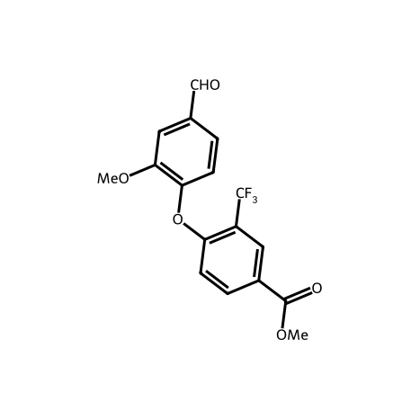 COC(=O)c1ccc(Oc2ccc(C=O)cc2OC)c(C(F)(F)F)c1